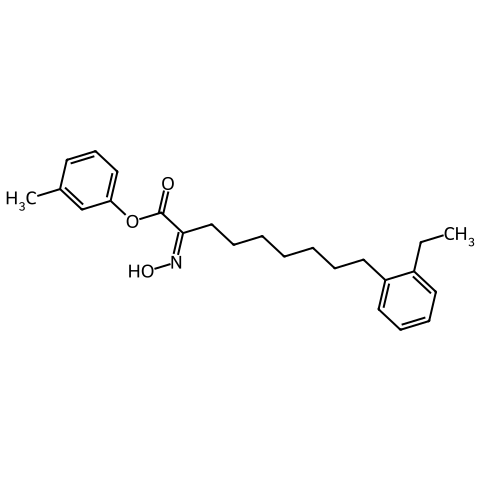 CCc1ccccc1CCCCCCCC(=NO)C(=O)Oc1cccc(C)c1